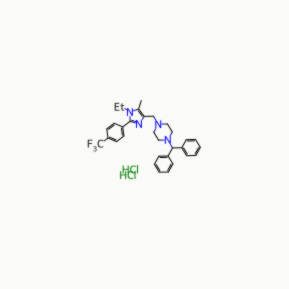 CCn1c(-c2ccc(C(F)(F)F)cc2)nc(CN2CCN(C(c3ccccc3)c3ccccc3)CC2)c1C.Cl.Cl